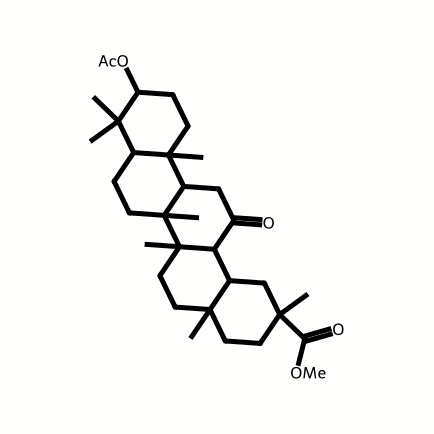 COC(=O)C1(C)CCC2(C)CCC3(C)C(C(=O)CC4C5(C)CCC(OC(C)=O)C(C)(C)C5CCC43C)C2C1